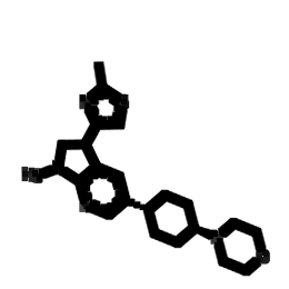 Cc1nc(C2CN(S)c3ncc([C@H]4CC[C@H](N5CCOCC5)CC4)cc32)cs1